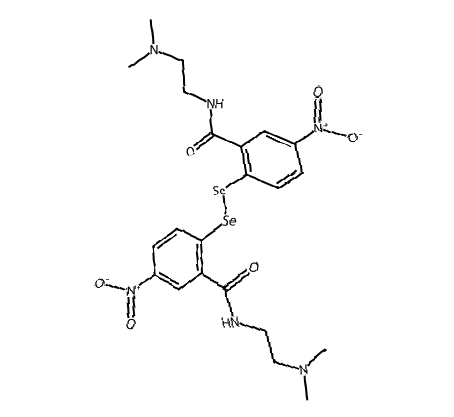 CN(C)CCNC(=O)c1cc([N+](=O)[O-])ccc1[Se][Se]c1ccc([N+](=O)[O-])cc1C(=O)NCCN(C)C